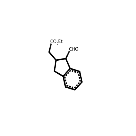 CCOC(=O)CC1Cc2ccccc2C1C=O